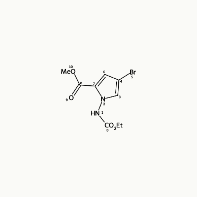 CCOC(=O)Nn1cc(Br)cc1C(=O)OC